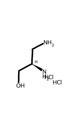 Cl.Cl.NC[C@@H](N)CO